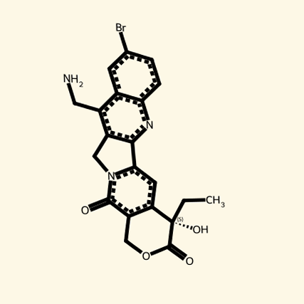 CC[C@@]1(O)C(=O)OCc2c1cc1n(c2=O)Cc2c-1nc1ccc(Br)cc1c2CN